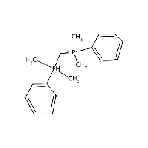 C[PH](C)(C[PH](C)(C)c1ccccc1)c1ccccc1